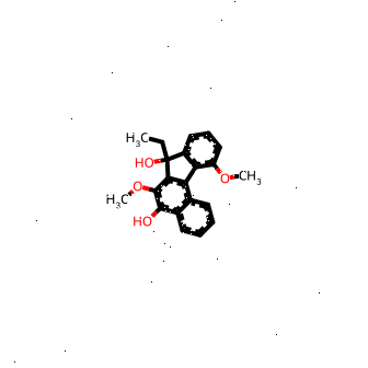 CCC1(O)c2cccc(OC)c2-c2c1c(OC)c(O)c1ccccc21